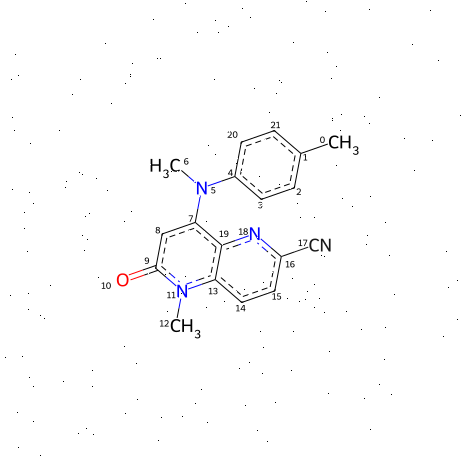 Cc1ccc(N(C)c2cc(=O)n(C)c3ccc(C#N)nc23)cc1